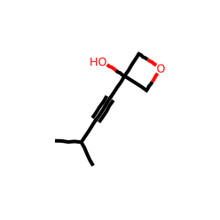 CC(C)C#CC1(O)COC1